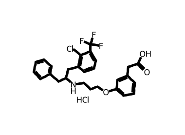 Cl.O=C(O)Cc1cccc(OCCCNC(Cc2ccccc2)Cc2cccc(C(F)(F)F)c2Cl)c1